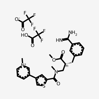 COC(=O)[C@H](Cc1cccc(C(=N)N)c1)CN(C)C(=O)c1cc(-c2ccc[n+](C)c2)cs1.O=C(O)C(F)(F)F.O=C([O-])C(F)(F)F